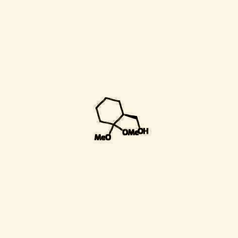 COC1(OC)CCCC[C@H]1CO